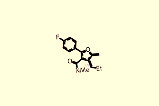 C=c1oc(-c2ccc(F)cc2)c(C(=O)NC)/c1=C/CC